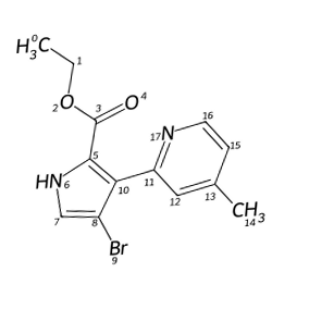 CCOC(=O)c1[nH]cc(Br)c1-c1cc(C)ccn1